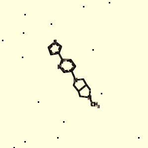 CN1CC2CN(c3ccc(-c4ccsc4)nc3)CC2C1